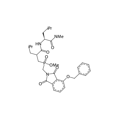 CNC(=O)[C@H](CC(C)C)NC(=O)C(CC(C)C)CP(=O)(CN1C(=O)c2cccc(OCc3ccccc3)c2C1=O)OC